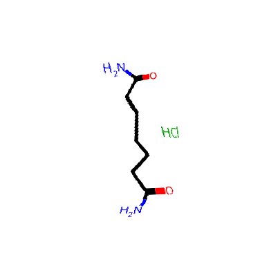 Cl.NC(=O)CCCCCC(N)=O